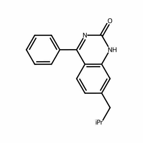 CC(C)Cc1ccc2c(-c3ccccc3)nc(=O)[nH]c2c1